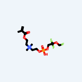 C=C(C)C(=O)OCC[N+](C)(C)CCOP(=O)(O)OCC(F)(F)OCF